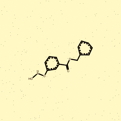 O=C(OCc1ccccc1)c1cccc(OBO)c1